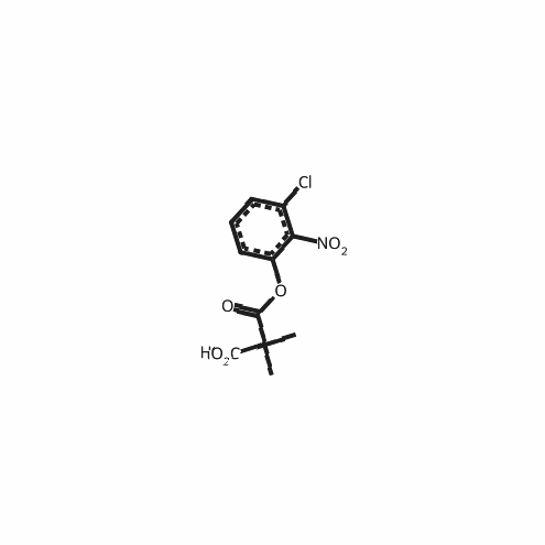 CC(C)(C(=O)O)C(=O)Oc1cccc(Cl)c1[N+](=O)[O-]